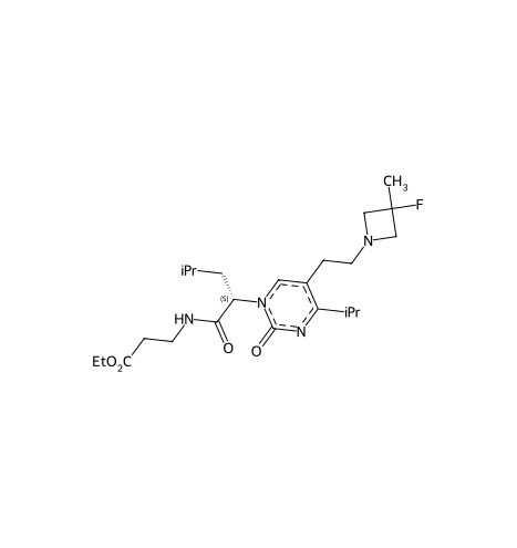 CCOC(=O)CCNC(=O)[C@H](CC(C)C)n1cc(CCN2CC(C)(F)C2)c(C(C)C)nc1=O